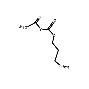 CCCCCCCCCCOC(=O)OC(=O)OC